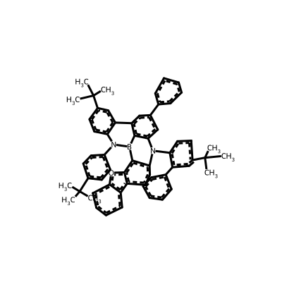 CC(C)(C)c1ccc(N2B3c4c(cc(-c5ccccc5)cc4N(c4ccc(C(C)(C)C)cc4-c4ccccc4)c4ccc5c(oc6ccccc65)c43)-c3cc(C(C)(C)C)ccc32)cc1